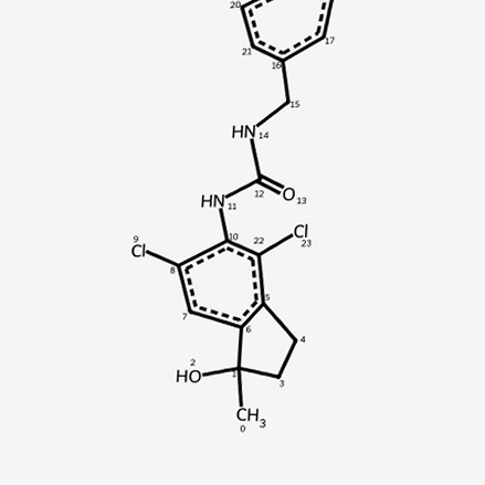 CC1(O)CCc2c1cc(Cl)c(NC(=O)NCc1ccccc1)c2Cl